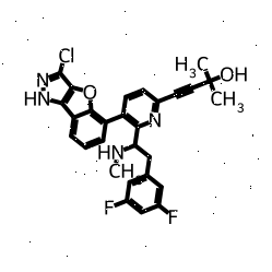 CNC(Cc1cc(F)cc(F)c1)c1nc(C#CC(C)(C)O)ccc1-c1cccc2c1oc1c(Cl)n[nH]c12